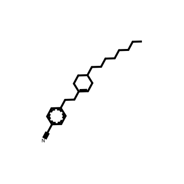 CCCCCCCCC1CC=C(CCc2ccc(C#N)cc2)CC1